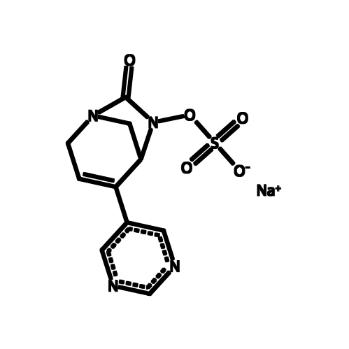 O=C1N2CC=C(c3cncnc3)C(C2)N1OS(=O)(=O)[O-].[Na+]